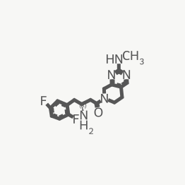 CNc1ncc2c(n1)CN(C(=O)C[C@H](N)Cc1cc(F)ccc1F)CC2